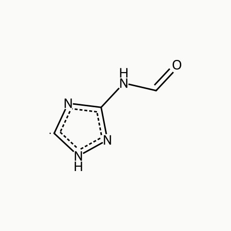 O=CNc1n[c][nH]n1